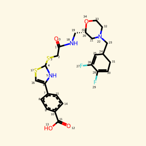 O=C(CSC1NC(c2ccc(C(=O)O)cc2)=CS1)NC[C@H]1CN(CC2C=C(F)C(F)=CC2)CCO1